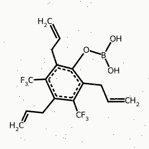 C=CCc1c(OB(O)O)c(CC=C)c(C(F)(F)F)c(CC=C)c1C(F)(F)F